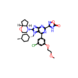 COCCOc1cc(Cl)cc(-c2nc(-c3noc(=O)[nH]3)nc3nc(N4CCO[C@@H]5CCC[C@H]54)n(C[C@H]4CC[C@H](C)CC4)c23)c1